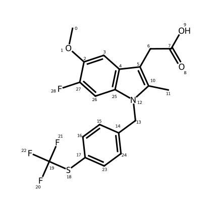 COc1cc2c(CC(=O)O)c(C)n(Cc3ccc(SC(F)(F)F)cc3)c2cc1F